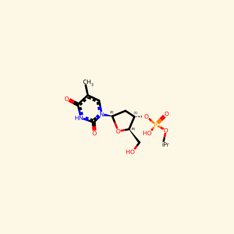 Cc1cn([C@H]2C[C@H](OP(=O)(O)OC(C)C)[C@@H](CO)O2)c(=O)[nH]c1=O